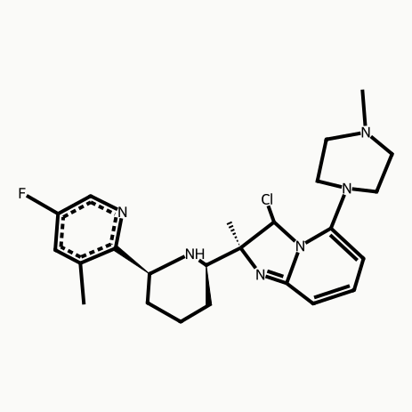 Cc1cc(F)cnc1[C@@H]1CCC[C@H]([C@]2(C)N=C3C=CC=C(N4CCN(C)CC4)N3C2Cl)N1